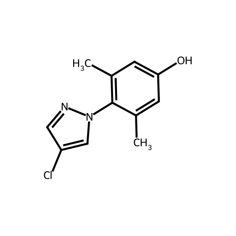 Cc1cc(O)cc(C)c1-n1cc(Cl)cn1